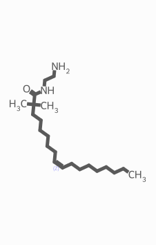 CCCCCCCC/C=C\CCCCCCC(C)(C)C(=O)NCCN